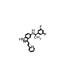 CC(Nc1ccc2[nH]nc(/C=C/c3ccccn3)c2c1)c1cc(F)cc(F)c1